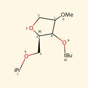 COC1CO[C@H](COC(C)C)C1OC(C)(C)C